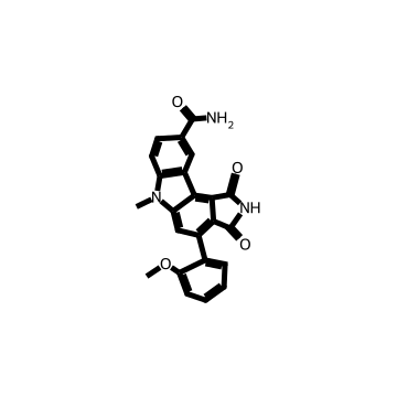 COc1ccccc1-c1cc2c(c3c1C(=O)NC3=O)c1cc(C(N)=O)ccc1n2C